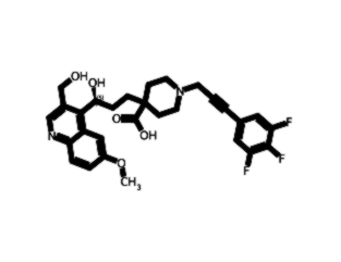 COc1ccc2ncc(CO)c([C@@H](O)CCC3(C(=O)O)CCN(CC#Cc4cc(F)c(F)c(F)c4)CC3)c2c1